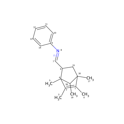 CC1=C(C)C2(C)C(/C=N/c3ccccc3)CC1(C)C2C